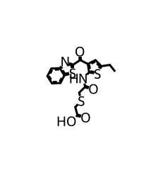 CCc1cc(C(=O)c2nc3ccccc3s2)c(NC(=O)CSCC(=O)O)s1